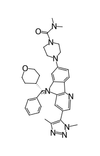 Cc1nnn(C)c1-c1cnc2c3ccc(N4CCN(C(=O)N(C)C)CC4)cc3n([C@H](c3ccccc3)C3CCOCC3)c2c1